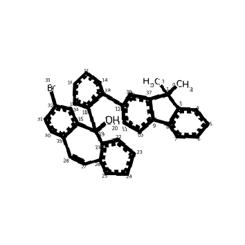 CC1(C)c2ccccc2-c2ccc(-c3ccccc3C3(O)c4ccccc4C=Cc4ccc(Br)cc43)cc21